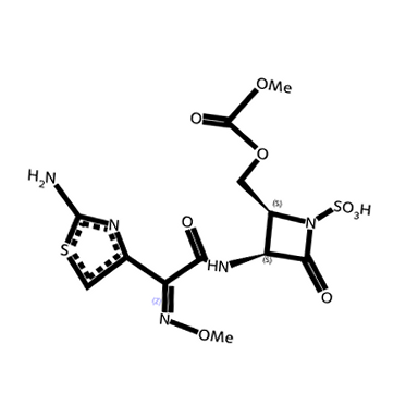 CO/N=C(\C(=O)N[C@@H]1C(=O)N(S(=O)(=O)O)[C@@H]1COC(=O)OC)c1csc(N)n1